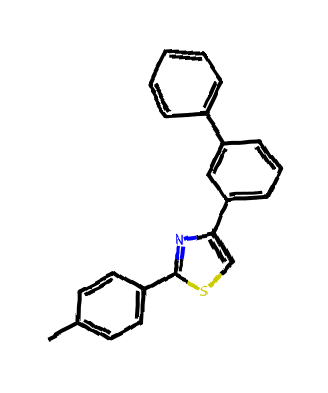 Cc1ccc(-c2nc(-c3cccc(-c4ccccc4)c3)cs2)cc1